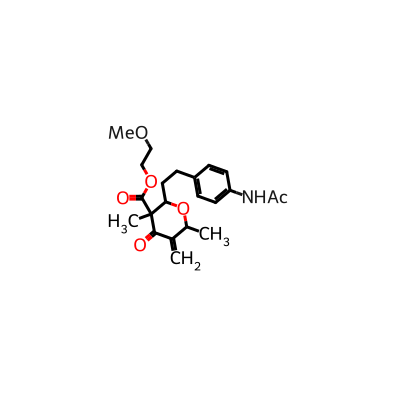 C=C1C(=O)C(C)(C(=O)OCCOC)C(CCc2ccc(NC(C)=O)cc2)OC1C